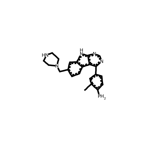 Cc1cc(-c2ncnc3[nH]c4cc(CN5CCNCC5)ccc4c23)ccc1P